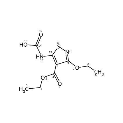 CCOC(=O)c1c(OCC)nsc1NC(=O)O